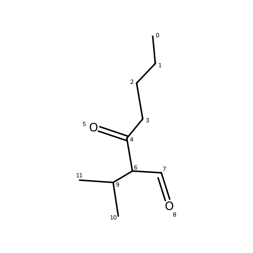 CCCCC(=O)C(C=O)C(C)C